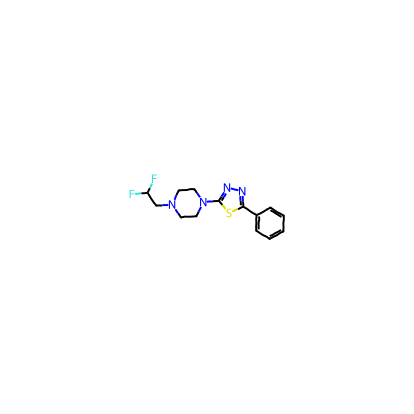 FC(F)CN1CCN(c2nnc(-c3ccccc3)s2)CC1